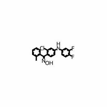 Cc1ccccc1C(=NO)c1ccc(Nc2ccc(F)c(F)c2)cc1Cl